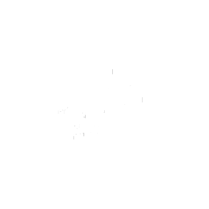 CC(C)O[Si](CCc1cc(F)cc(F)c1)(OC(C)C)OC(C)C